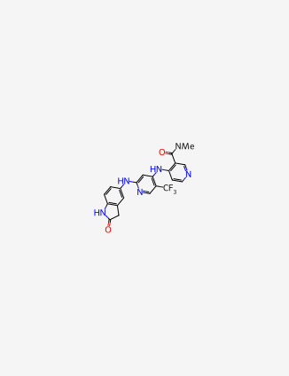 CNC(=O)c1cnccc1Nc1cc(Nc2ccc3c(c2)CC(=O)N3)ncc1C(F)(F)F